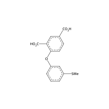 CSc1cccc(Oc2ccc(C(=O)O)cc2C(=O)O)c1